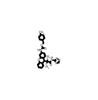 Cc1ccc(COC(=O)Nc2ccc3c(c2)Oc2ccccc2C3C(C)(C)C(=O)Nc2nncs2)cc1